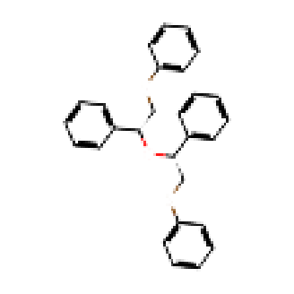 c1ccc(SC[C@@H](O[C@H](CSc2ccccc2)c2ccccc2)c2ccccc2)cc1